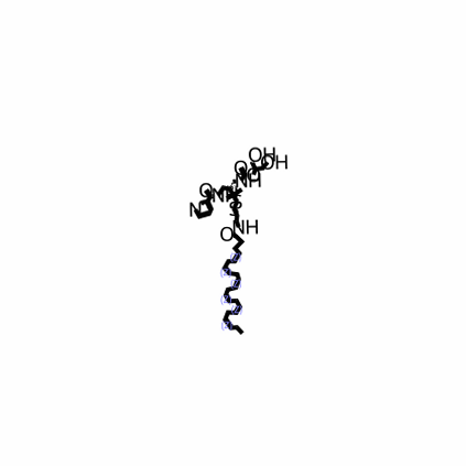 CC/C=C\C/C=C\C/C=C\C/C=C\C/C=C\C/C=C\CCC(=O)NCCSSC(C)(C)[C@@H](CNC(=O)OC(CO)CO)CNC(=O)c1cccnc1